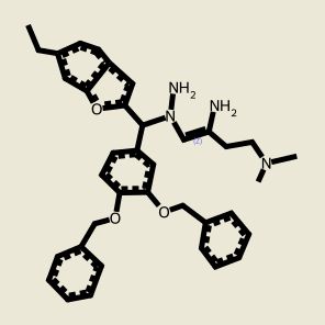 CCc1ccc2cc(C(c3ccc(OCc4ccccc4)c(OCc4ccccc4)c3)N(N)/C=C(\N)CCN(C)C)oc2c1